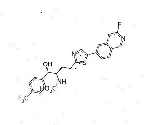 O=C(O)N[C@H](CCc1ncc(-c2ccc3cnc(F)cc3c2)s1)[C@H](O)c1ccc(C(F)(F)F)cc1